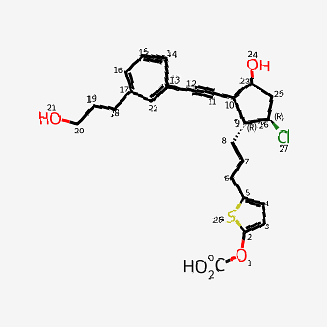 O=C(O)Oc1ccc(CCC[C@@H]2C(C#Cc3cccc(CCCO)c3)C(O)C[C@H]2Cl)s1